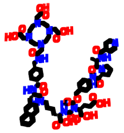 C[C@@H](NC(=O)c1ccncc1)C(=O)N1CCC[C@H]1C(=O)Nc1ccc(COC(=O)N(C(=O)N[C@@H](CCCCNC(=O)[C@H](Cc2ccc3ccccc3c2)NC(=O)[C@H]2CC[C@H](CNC(=O)CN3CCN(CC(=O)O)CCN(CC(=O)O)CCN(CC(=O)O)CC3)CC2)C(=O)O)[C@@H](CCC(=O)O)C(=O)O)cc1